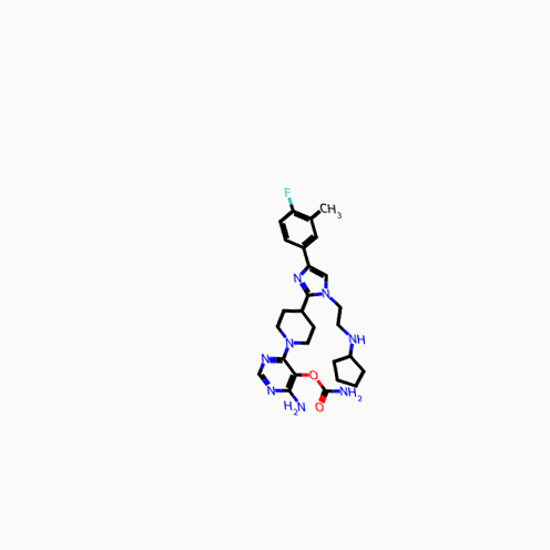 Cc1cc(-c2cn(CCNC3CCCC3)c(C3CCN(c4ncnc(N)c4OC(N)=O)CC3)n2)ccc1F